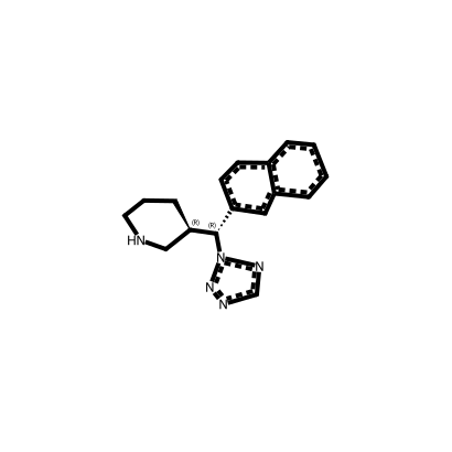 c1ccc2cc([C@@H]([C@@H]3CCCNC3)n3ncnn3)ccc2c1